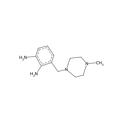 CN1CCN(Cc2cccc(N)c2N)CC1